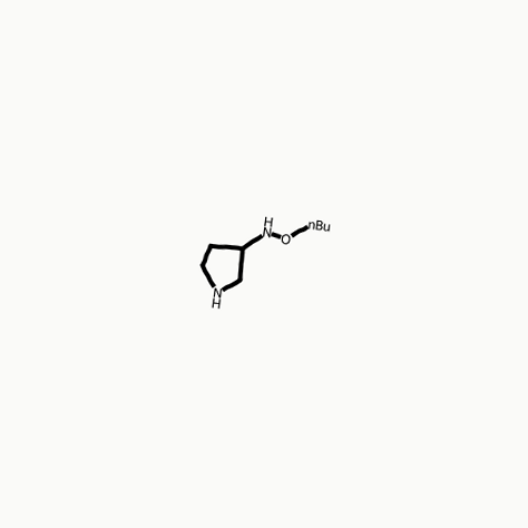 CCCCONC1CCNC1